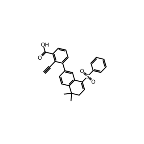 C#Cc1c(C(=O)O)cccc1-c1ccc2c(c1)C(S(=O)(=O)c1ccccc1)=CCC2(C)C